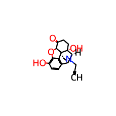 C#CCN1CC[C@]23c4c5ccc(O)c4OC2C(=O)CC[C@@]3(O)[C@H]1C5